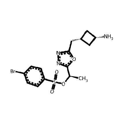 C[C@@H](OS(=O)(=O)c1ccc(Br)cc1)c1nnc(C[C@H]2C[C@@H](N)C2)o1